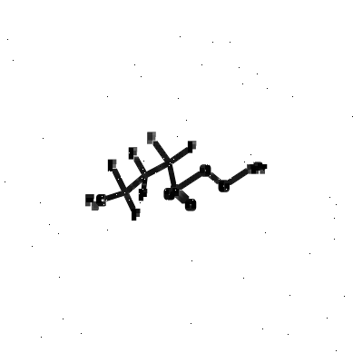 CCCOOS(=O)(=O)C(F)(F)C(F)(F)C(F)(F)C(F)(F)F